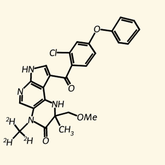 [2H]C([2H])([2H])N1C(=O)C(C)(COC)Nc2c1cnc1[nH]cc(C(=O)c3ccc(Oc4ccccc4)cc3Cl)c21